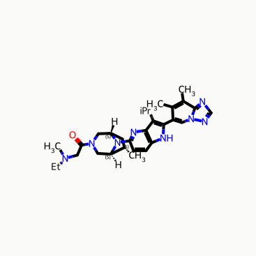 CCN(C)CC(=O)N1C[C@@H]2C[C@H](C)[C@@H](C1)N2c1ccc2[nH]c(-c3cn4ncnc4c(C)c3C)c(C(C)C)c2n1